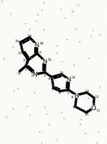 Cc1nc(-c2ccc(N3CCOCC3)nc2)nc2ncccc12